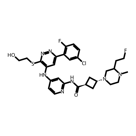 CN1CCN([C@H]2C[C@H](C(=O)Nc3cc(Nc4cc(-c5cc(Cl)ccc5F)nnc4SCCO)ccn3)C2)CC1CCF